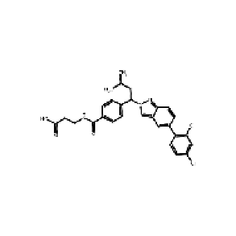 CC(C)CC(c1ccc(C(=O)NCCC(=O)O)cc1)n1cc2cc(-c3ccc(Cl)cc3Cl)ccc2n1